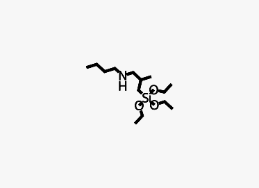 CCCCNCC(C)C[Si](OCC)(OCC)OCC